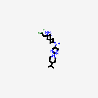 CC(C)C1CCN(c2ncc(NC3CC4(C3)CC(N)(CC(F)F)C4)cn2)CC1